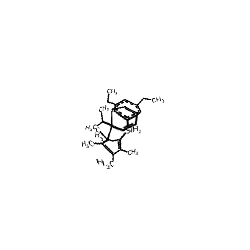 CCc1cc(CC)cc([SiH2]C2=C(C)C(C)=C(C)C2(C)C2(C(C)C)C=CC=CC2)c1